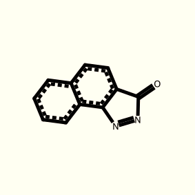 O=C1N=Nc2c1ccc1ccccc21